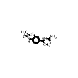 CC(NC(N)=S)c1ccc(NS(C)(=O)=O)c(F)c1